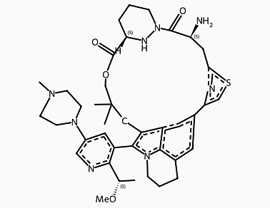 CO[C@@H](C)c1ncc(N2CCN(C)CC2)cc1-c1c2c3cc(cc4c3n1CCC4)-c1csc(n1)C[C@H](N)C(=O)N1CCC[C@H](N1)C(=O)OCC(C)(C)C2